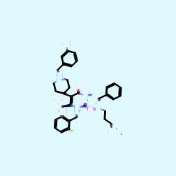 N#CCCCN[C@H](Cn1c(=O)c2c(n(Cc3c(F)cccc3C(F)(F)F)c1=O)COC21CCN(Cc2cccc(Cl)c2)CC1)c1ccccc1